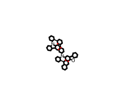 c1cc(-c2ccc(N(c3ccc4oc5ccccc5c4c3)c3ccccc3-c3cccc4ccccc34)cc2)cc(-c2ccccc2-n2c3ccccc3c3ccccc32)c1